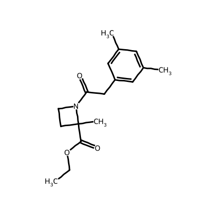 CCOC(=O)C1(C)CCN1C(=O)Cc1cc(C)cc(C)c1